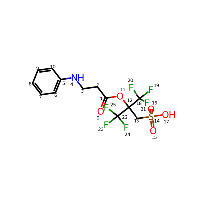 O=C(CCNc1ccccc1)OC(CS(=O)(=O)O)(C(F)(F)F)C(F)(F)F